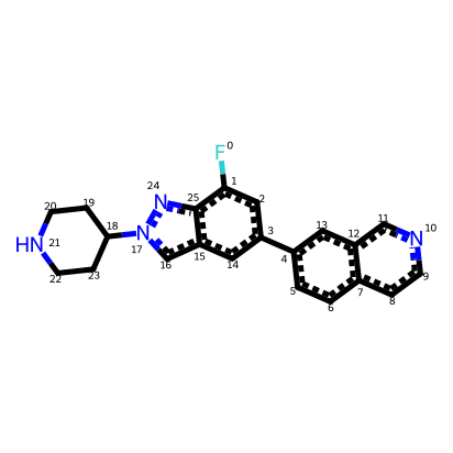 Fc1cc(-c2ccc3ccncc3c2)cc2cn(C3CCNCC3)nc12